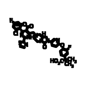 COC(=O)C1=C(CN2CCN3C(=O)N(c4ccc(Oc5ccc(C(C)(C)C(=O)O)cc5F)nc4)C[C@@H]3C2)NC(c2nccs2)=N[C@H]1c1ccc(F)cc1Cl